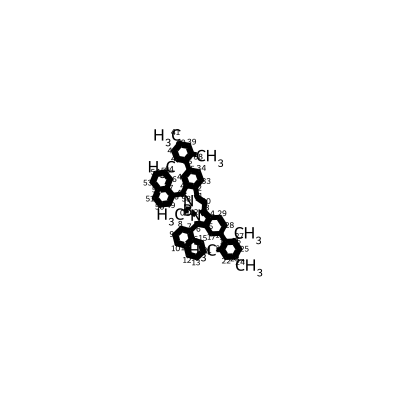 CB1n2c(c3c(c2-c2cccc4ccccc24)CC(c2c(C)cc(C)cc2C)C=C3)C=C2c3ccc(-c4c(C)cc(C)cc4C)cc3C(c3cccc4ccccc34)=[N+]12